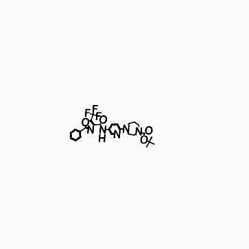 CC(C)(C)OC(=O)N1CCCN(c2ccc(NC(=O)c3nc(-c4ccccc4)oc3C(F)(F)F)cn2)CC1